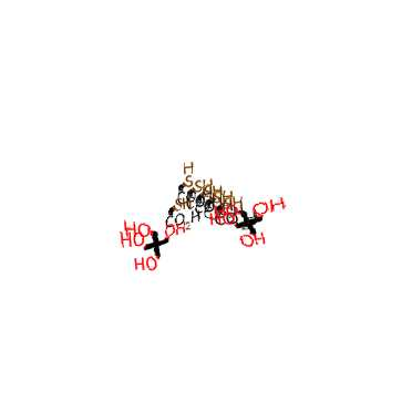 O=C(O)CS.O=C(O)CS.O=C(O)CS.O=C(O)CS.O=C(O)CS.O=C(O)CS.OCC(CO)(CO)CO.OCC(CO)(CO)CO